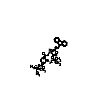 CC(C)(C)OC(=O)[C@H](CCC(=O)N1CCN(C(=O)OC(C)(C)C)CC1)NC(=O)OCC1c2ccccc2-c2ccccc21